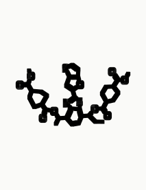 CCC(OC(=O)C1CCC(C(=O)OC)CC1)c1ccc(C(C)OC(=O)C2CCC(C(=O)OC)CC2)c2nc(-c3cc4sccc4o3)sc12